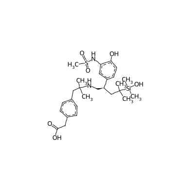 CC(C)(Cc1ccc(CC(=O)O)cc1)NC[C@H](CC(C)(C)[Si](C)(C)O)c1ccc(O)c(NS(C)(=O)=O)c1